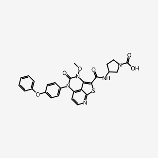 CON1C(=O)N(c2ccc(Oc3ccccc3)cc2)c2ccnc3sc(C(=O)NC4CCN(C(=O)O)C4)c1c23